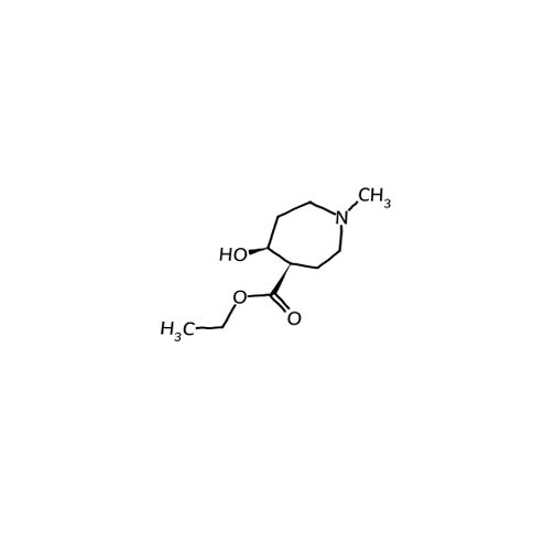 CCOC(=O)[C@@H]1CCN(C)CC[C@@H]1O